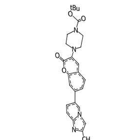 Cc1cn2cc(-c3ccc4cc(N5CCN(C(=O)OC(C)(C)C)CC5)c(=O)oc4c3)ccc2n1